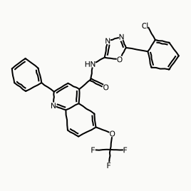 O=C(Nc1nnc(-c2ccccc2Cl)o1)c1cc(-c2ccccc2)nc2ccc(OC(F)(F)F)cc12